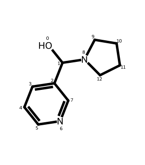 OC(c1cccnc1)N1CCCC1